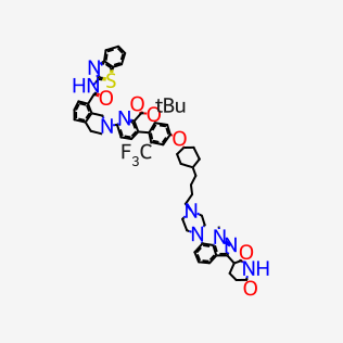 Cn1nc(C2CCC(=O)NC2=O)c2cccc(N3CCN(CCCCC4CCC(Oc5ccc(-c6ccc(N7CCc8cccc(C(=O)Nc9nc%10ccccc%10s9)c8C7)nc6C(=O)OC(C)(C)C)c(C(F)(F)F)c5)CC4)CC3)c21